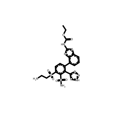 CCOC(=O)Nc1nc2c(-c3ccc(S(=O)(=O)CCN)c(S(N)(=O)=O)c3-c3nn[nH]n3)cccc2s1